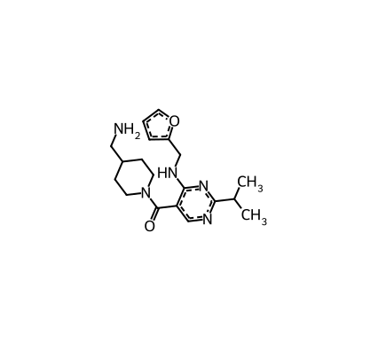 CC(C)c1ncc(C(=O)N2CCC(CN)CC2)c(NCc2ccco2)n1